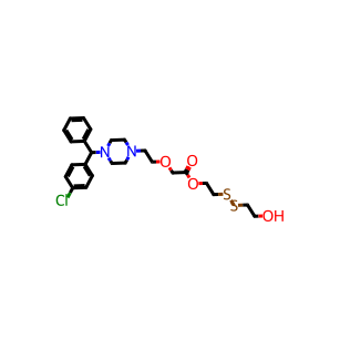 O=C(COCCN1CCN(C(c2ccccc2)c2ccc(Cl)cc2)CC1)OCCSSCCO